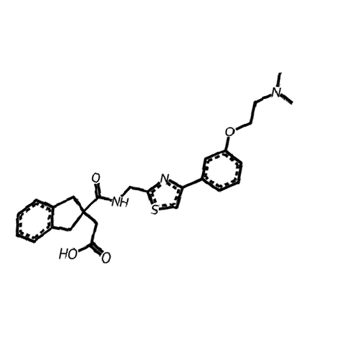 CN(C)CCOc1cccc(-c2csc(CNC(=O)C3(CC(=O)O)Cc4ccccc4C3)n2)c1